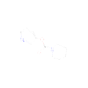 O=C(Oc1cccnc1)N1CCCCC1